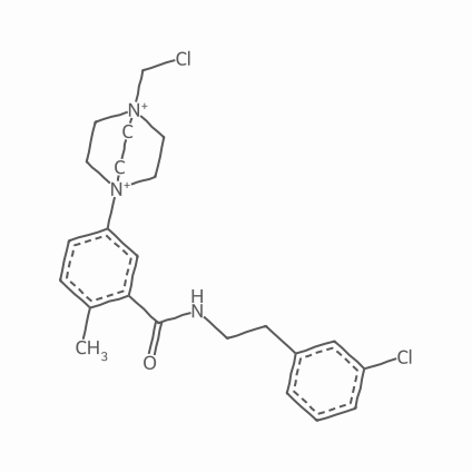 Cc1ccc([N+]23CC[N+](CCl)(CC2)CC3)cc1C(=O)NCCc1cccc(Cl)c1